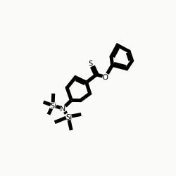 C[Si](C)(C)N(C1CC=C(C(=S)Oc2ccccc2)CC1)[Si](C)(C)C